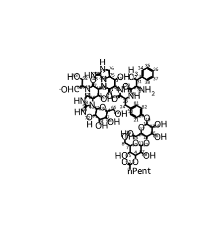 CCCCCC(=O)OC1C(O)C(CO)OC(OC2C(CO)OC(Oc3ccc(CC(NC(=O)C(N)C(C)c4ccccc4)C(=O)NC(C(=O)NC(C(=O)NC([C]=O)CO)C(O)C4CNC(=N)N4C4OC(CO)C(O)C(O)C4O)C(O)C4CNC(=N)N4)cc3)C(O)C2O)C1O